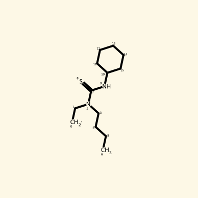 [CH2]CN(CCCC)C(=S)NC1CCCCC1